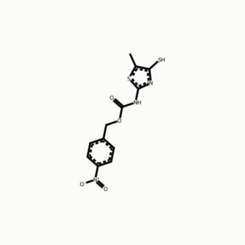 Cc1sc(NC(=O)OCc2ccc([N+](=O)[O-])cc2)nc1S